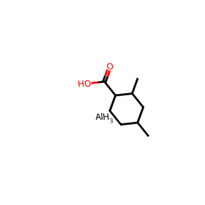 CC1CCC(C(=O)O)C(C)C1.[AlH3]